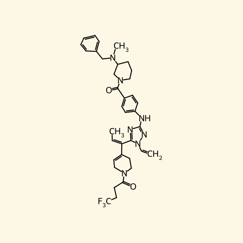 C=Cn1nc(Nc2ccc(C(=O)N3CCCC(N(C)Cc4ccccc4)C3)cc2)nc1/C(=C\C)C1=CCN(C(=O)CCC(F)(F)F)CC1